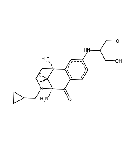 C[C@@H]1[C@@]2(C)CCN(CC3CC3)[C@]1(N)C(=O)c1ccc(NC(CO)CO)cc12